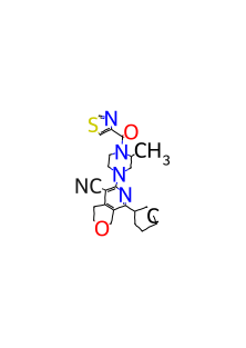 CC1CN(c2nc(C3CCCCC3)c3c(c2C#N)CCOC3)CCN1C(=O)c1cscn1